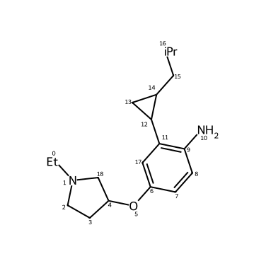 CCN1CCC(Oc2ccc(N)c(C3CC3CC(C)C)c2)C1